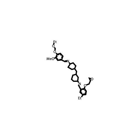 CCOCOc1ccc(/C=N/C2CCC(CC3CCCC(N=Cc4cc(CC)ccc4OCC4CO4)C3)CC2)cc1OC